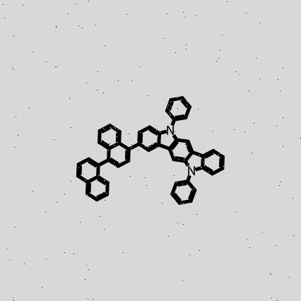 c1ccc(-n2c3ccccc3c3cc4c(cc32)c2cc(-c3ccc(-c5cccc6ccccc56)c5ccccc35)ccc2n4-c2ccccc2)cc1